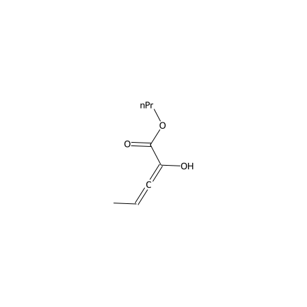 CC=C=C(O)C(=O)OCCC